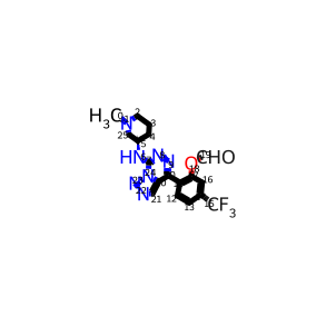 CN1CCC[C@@H](Nc2nnc(-c3ccc(C(F)(F)F)cc3OC=O)c3cnnn23)C1